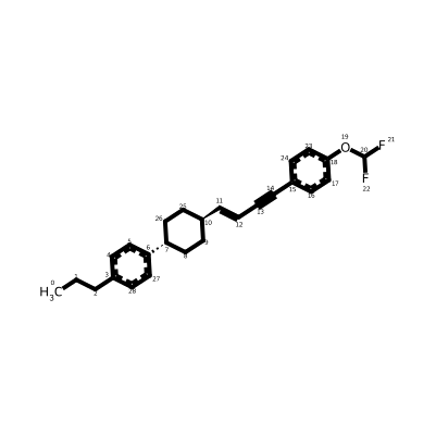 CCCc1ccc([C@H]2CC[C@H](C=CC#Cc3ccc(OC(F)F)cc3)CC2)cc1